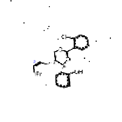 CCC/C=C\C[C@@H]1COC(c2ccccc2Cl)O[C@@H]1c1ccccc1O